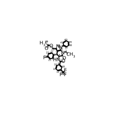 CCN1C(=O)C(NC(=O)c2cccc(C(F)(F)F)c2)[C@@H](c2ccc(F)cc2)c2c(COC(C)=O)nn(-c3ccccc3)c21